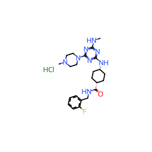 CNc1nc(N[C@H]2CC[C@@H](C(=O)NCc3ccccc3F)CC2)nc(N2CCN(C)CC2)n1.Cl